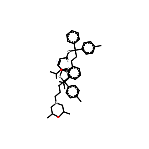 Cc1ccc(C(CCCN(CC(C)C)CC(C)C)(OC(=O)/C=C\C(=O)OC(CCCN(CC(C)C)CC(C)C)(c2ccccc2)c2ccc(C)cc2)c2ccccc2)cc1